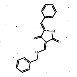 O=C1N/C(=C\c2ccccc2)C(=O)/C1=C\NCc1ccccc1